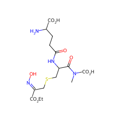 CCOC(=O)C(CSCC(NC(=O)CCC(N)C(=O)O)C(=O)N(C)C(=O)O)=NO